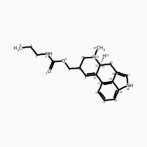 CCCNC(=O)OCC1C=C2c3cccc4[nH]cc(c34)C[C@@H]2N(C)C1